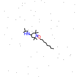 CCCCCCCCON1C(C)(C)CC(NCC(C)C)CC1(C)C